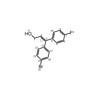 OC/C=C(/c1ccc(F)cc1)c1ccc(Br)cc1